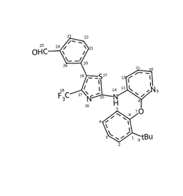 CC(C)(C)c1ccccc1Oc1ncccc1Nc1nc(C(F)(F)F)c(-c2cccc(C=O)c2)s1